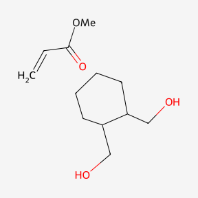 C=CC(=O)OC.OCC1CCCCC1CO